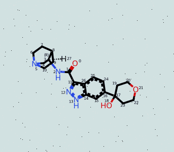 O=C(N[C@H]1CN2CCC1CC2)c1n[nH]c2cc(C3(O)CCOCC3)ccc12